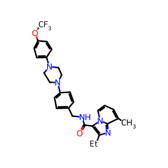 CCc1nc2c(C)cccn2c1C(=O)NCc1ccc(N2CCN(c3ccc(OC(F)(F)F)cc3)CC2)cc1